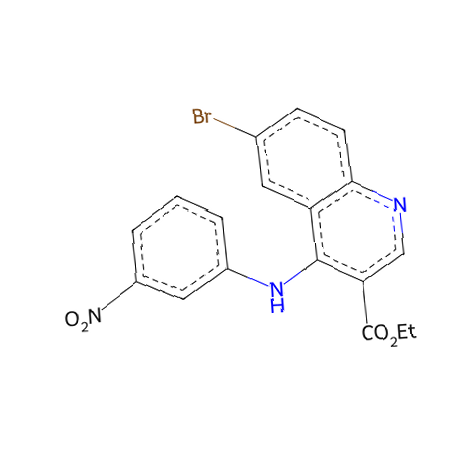 CCOC(=O)c1cnc2ccc(Br)cc2c1Nc1cccc([N+](=O)[O-])c1